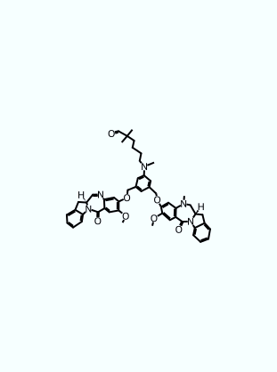 COc1cc2c(cc1OCc1cc(COc3cc4c(cc3OC)C(=O)N3c5ccccc5C[C@H]3CN4C)cc(N(C)CCCCC(C)(C)C=O)c1)N=C[C@@H]1Cc3ccccc3N1C2=O